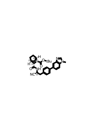 Cn1cnc2cc(-c3ccc(C[C@@H](C#N)NC(=O)[C@@H]4[C@H]5CC[C@H](C5)N4C(=O)OC(C)(C)C)cc3)ccc21